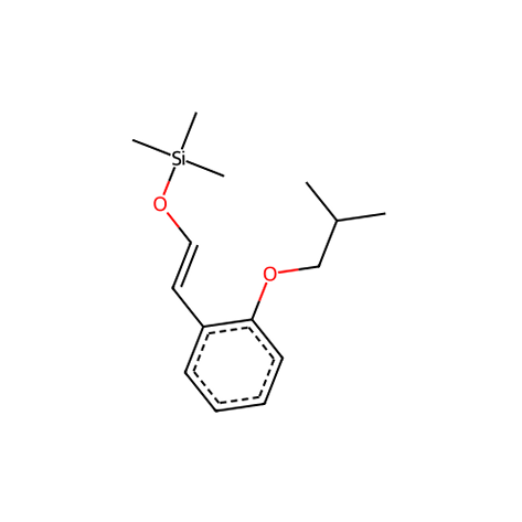 CC(C)COc1ccccc1C=CO[Si](C)(C)C